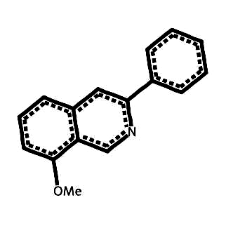 COc1cccc2cc(-c3ccccc3)ncc12